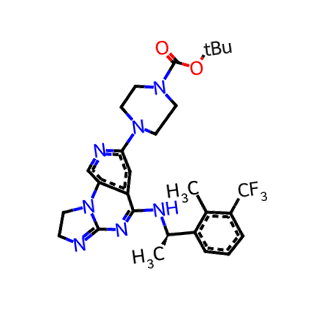 Cc1c([C@@H](C)NC2=NC3=NCCN3c3cnc(N4CCN(C(=O)OC(C)(C)C)CC4)cc32)cccc1C(F)(F)F